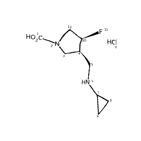 Cl.O=C(O)N1C[C@H](CNC2CC2)[C@H](F)C1